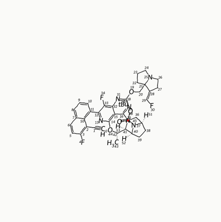 C#Cc1c(F)ccc2cccc(-c3nc4c5c(nc(OCC67CCCN6CCC7=CF)nc5c3F)N3C[C@H]5CC[C@@H]([C@H]3[C@H](C)O4)N5C(=O)OC(C)(C)C)c12